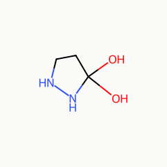 OC1(O)CCNN1